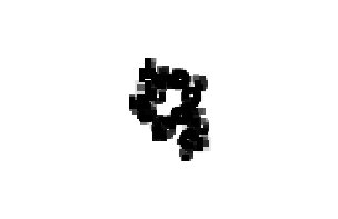 CN(C[C@H]1CC[C@H](n2cc(NC(=O)c3cnn4ccc(N5CC(C)(C)OC(C)(C)C5)nc34)c(C(F)F)n2)CC1)C1CCN(c2cccc3c2n(C)c(=O)n3C2CCC(=O)NC2=O)CC1